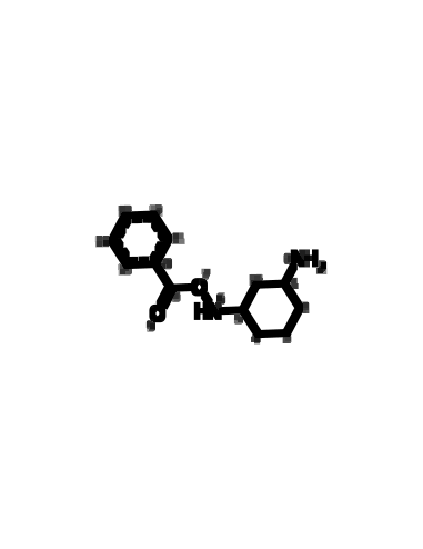 NC1CCCC(NOC(=O)c2ccccc2)C1